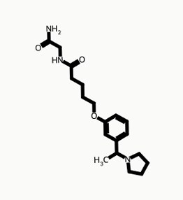 CC(c1cccc(OCCCCC(=O)NCC(N)=O)c1)N1CCCC1